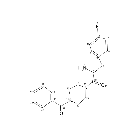 NC(Cc1ccc(F)cc1)C(=O)N1CCN(C(=O)c2ccccc2)CC1